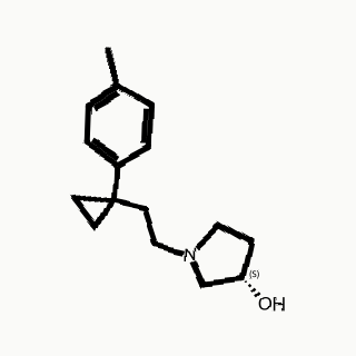 Cc1ccc(C2(CCN3CC[C@H](O)C3)CC2)cc1